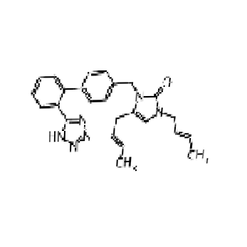 C/C=C/Cc1cn(C/C=C/C)c(=O)n1Cc1ccc(-c2ccccc2-c2nnn[nH]2)cc1